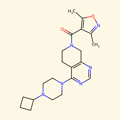 Cc1noc(C)c1C(=O)N1CCc2c(ncnc2N2CCN(C3CCC3)CC2)C1